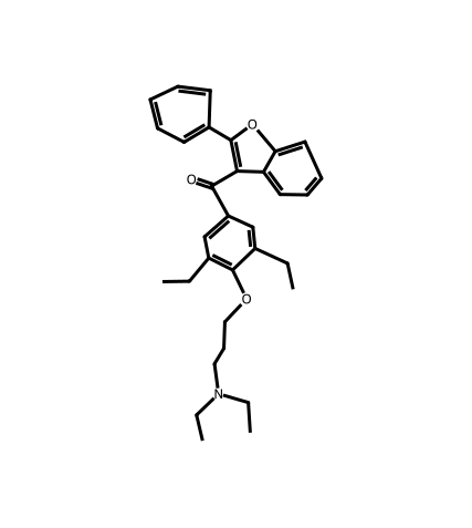 CCc1cc(C(=O)c2c(-c3ccccc3)oc3ccccc23)cc(CC)c1OCCCN(CC)CC